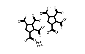 O=C([O-])C1CC(C(=O)[O-])C(C(=O)[O-])C1C(=O)[O-].O=C([O-])C1CC(C(=O)[O-])C(C(=O)[O-])C1C(=O)[O-].[Pt+4].[Pt+4]